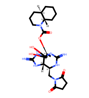 N=C1N[C@H]2[C@H](CN3C(=O)CCC3=O)NC(=N)N3C[C@H](OC(=O)N4CCC[C@H]5CCCC[C@@H]54)C(O)(O)[C@]23N1